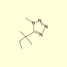 CCC(C)(C)c1nnnn1C